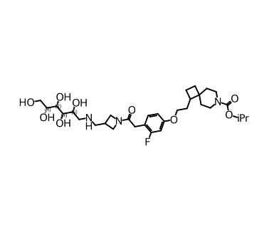 CC(C)OC(=O)N1CCC2(CCC2CCOc2ccc(CC(=O)N3CC(CNC[C@H](O)[C@@H](O)[C@H](O)[C@H](O)CO)C3)c(F)c2)CC1